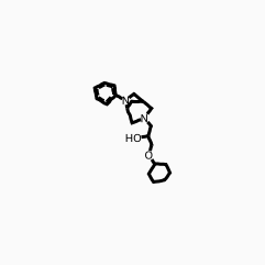 OC(COC1CCCCC1)CN1CC2CC(C1)N(c1ccccc1)C2